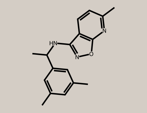 Cc1cc(C)cc(C(C)Nc2noc3nc(C)ccc23)c1